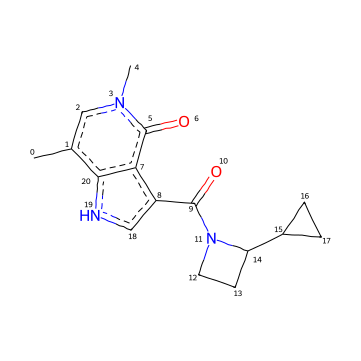 Cc1cn(C)c(=O)c2c(C(=O)N3CCC3C3CC3)c[nH]c12